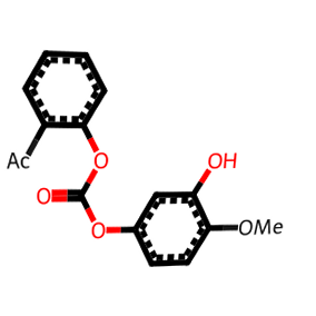 COc1ccc(OC(=O)Oc2ccccc2C(C)=O)cc1O